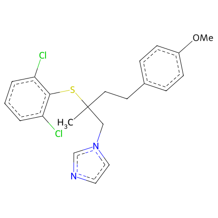 COc1ccc(CCC(C)(Cn2ccnc2)Sc2c(Cl)cccc2Cl)cc1